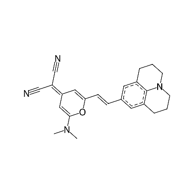 CN(C)C1=CC(=C(C#N)C#N)C=C(/C=C/c2cc3c4c(c2)CCCN4CCC3)O1